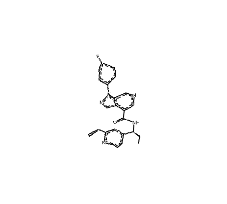 C=Cc1cc([C@H](CC)NC(=O)c2cncc3c2cnn3-c2ccc(F)cc2)ccn1